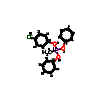 C[P+](Oc1ccccc1)(Oc1ccccc1)Oc1ccccc1.[Cl-]